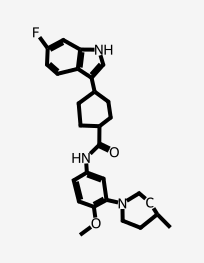 COc1ccc(NC(=O)C2CCC(c3c[nH]c4cc(F)ccc34)CC2)cc1N1CCC(C)CC1